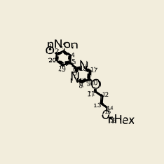 CCCCCCCCCOc1ccc(-c2ncc(OCCCCOCCCCCC)cn2)cc1